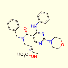 C/C=C/CN(Cc1ccccc1)C(=O)c1cnc(N2CCOCC2)nc1Nc1ccccc1.O=C(O)O